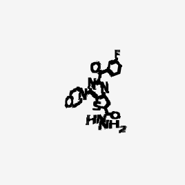 NNC(=O)c1cc2nc(C(=O)c3cccc(F)c3)nc(N3CCOCC3)c2s1